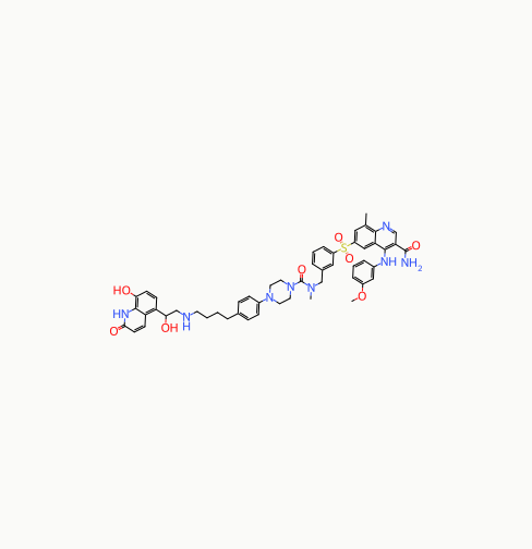 COc1cccc(Nc2c(C(N)=O)cnc3c(C)cc(S(=O)(=O)c4cccc(CN(C)C(=O)N5CCN(c6ccc(CCCCNCC(O)c7ccc(O)c8[nH]c(=O)ccc78)cc6)CC5)c4)cc23)c1